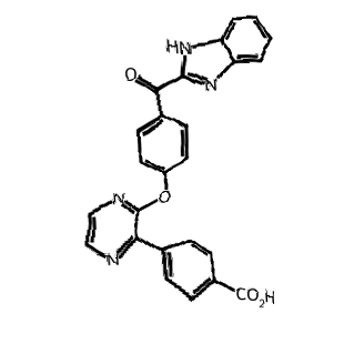 O=C(O)c1ccc(-c2nccnc2Oc2ccc(C(=O)c3nc4ccccc4[nH]3)cc2)cc1